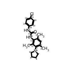 Cc1cc(C)c(N2CCCC2)c(C)c1NC(=O)Nc1ccc(Cl)cc1